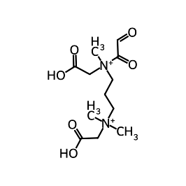 C[N+](C)(CCC[N+](C)(CC(=O)O)C(=O)C=O)CC(=O)O